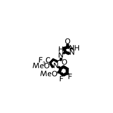 COc1c(N2CC(OC)(C(F)(F)F)C[C@H]2C(=O)Nc2cn[nH]c(=O)c2)ccc(F)c1F